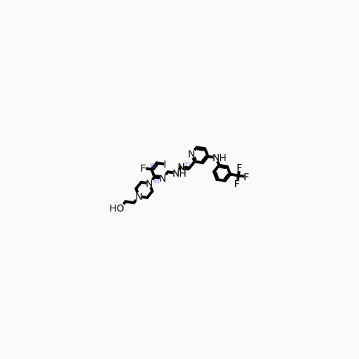 OCCN1CCN(C(=N/CN/N=C/c2cc(Nc3cccc(C(F)(F)F)c3)ccn2)/C(F)=C\I)CC1